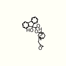 O=C(O[C@H]1C[N+]2(CC3CO3)CCC1CC2)C1(O)c2ccccc2-c2ccccc21